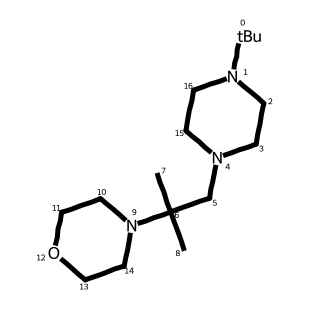 CC(C)(C)N1CCN(CC(C)(C)N2CCOCC2)CC1